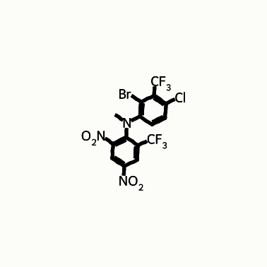 CN(c1ccc(Cl)c(C(F)(F)F)c1Br)c1c([N+](=O)[O-])cc([N+](=O)[O-])cc1C(F)(F)F